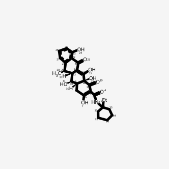 CCC1(NC(=O)C2=C(O)C[C@@H]3[C@@H](O)[C@H]4C(=C(O)[C@]3(O)C2=O)C(=O)c2c(O)cccc2[C@@H]4C)CCCCC1